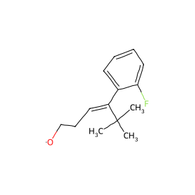 CC(C)(C)C(=CCC[O])c1ccccc1F